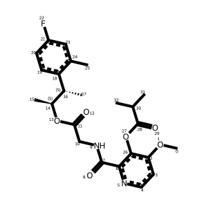 COc1ccnc(C(=O)NCC(=O)O[C@@H](C)[C@@H](C)c2ccc(F)cc2C)c1OC(=O)C(C)C